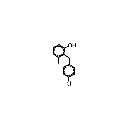 Cc1cccc(O)c1Cc1ccc(Cl)cc1